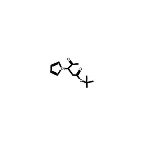 CC(=O)C(CC(=O)OC(C)(C)C)[SH]1C=CC=C1